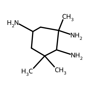 CC1(C)CC(N)CC(C)(N)C1N